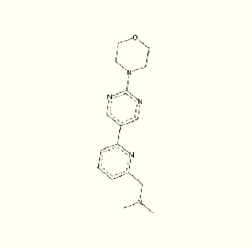 CN(C)Cc1cccc(-c2cnc(N3CCOCC3)nc2)n1